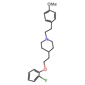 COc1ccc(CCN2CCC(CCOc3ccccc3F)CC2)cc1